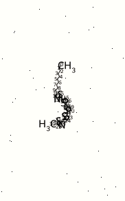 CCCCCCCCCCc1cnc(-c2ccc(-c3ccc(-c4ccc(-c5ncc(C)s5)s4)s3)s2)s1